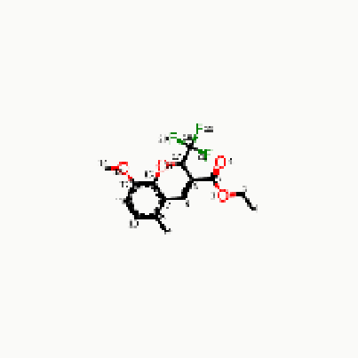 CCOC(=O)C1=Cc2c(C)ccc(OC)c2OC1C(F)(F)F